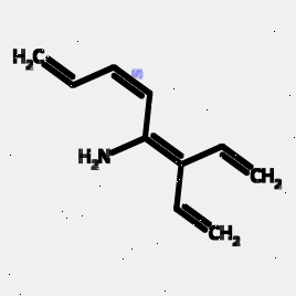 C=C/C=C\C(N)=C(C=C)C=C